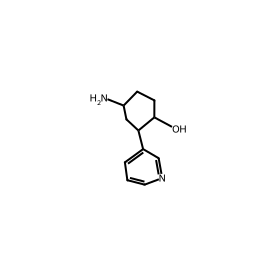 NC1CCC(O)C(c2cccnc2)C1